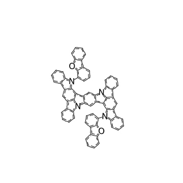 c1ccc2c(c1)oc1c(-n3c4ccccc4c4cc5c6ccccc6n6c7cc8c9c%10c(cc%11c%12ccccc%12n(c8cc7c(c43)c56)c%119)c3ccccc3n%10-c3cccc4c3oc3ccccc34)cccc12